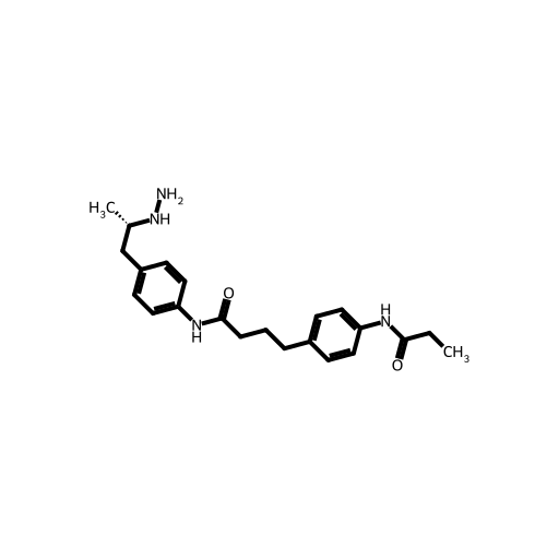 CCC(=O)Nc1ccc(CCCC(=O)Nc2ccc(C[C@H](C)NN)cc2)cc1